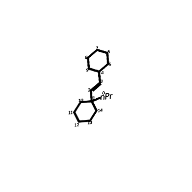 CCCC1(C=CC2CCCCC2)CCCCC1